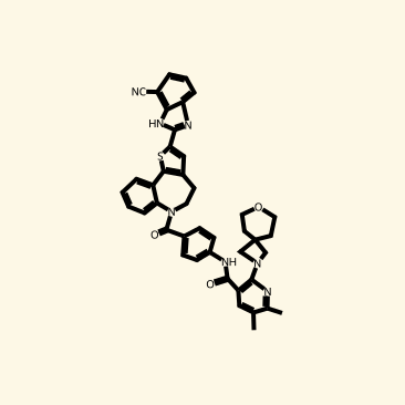 Cc1cc(C(=O)Nc2ccc(C(=O)N3CCc4cc(-c5nc6cccc(C#N)c6[nH]5)sc4-c4ccccc43)cc2)c(N2CC3(CCOCC3)C2)nc1C